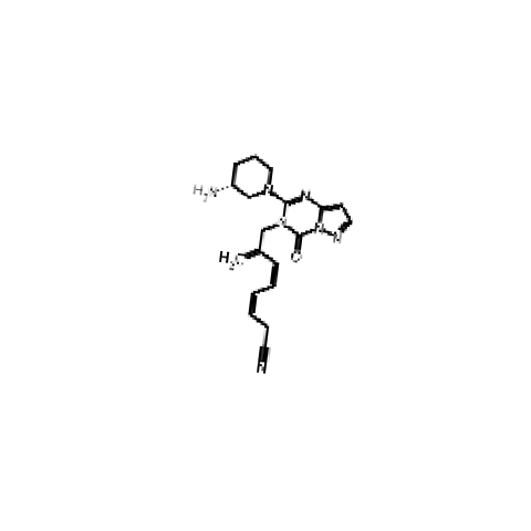 C=C(/C=C\C=C/CC#N)Cn1c(N2CCC[C@@H](N)C2)nc2ccnn2c1=O